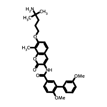 COc1cccc(-c2cc(C(=O)Nc3cc4ccc(OCCCC(C)(C)N)c(C)c4oc3=O)ccc2OC)c1